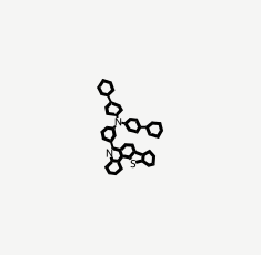 c1ccc(-c2ccc(N(c3ccc(-c4ccccc4)cc3)c3cccc(-c4nc5ccccc5c5c4ccc4c6ccccc6sc45)c3)cc2)cc1